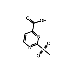 CS(=O)(=O)c1nccc(C(=O)O)n1